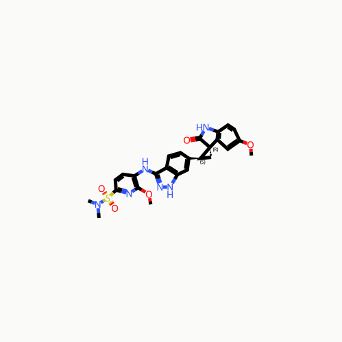 COc1ccc2c(c1)[C@]1(C[C@H]1c1ccc3c(Nc4ccc(S(=O)(=O)N(C)C)nc4OC)n[nH]c3c1)C(=O)N2